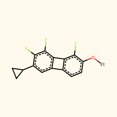 CCOc1ccc2c(c1F)-c1c-2cc(C2CC2)c(F)c1F